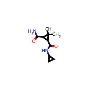 CC1(C)C(C(N)=O)C1C(=O)NC1CC1